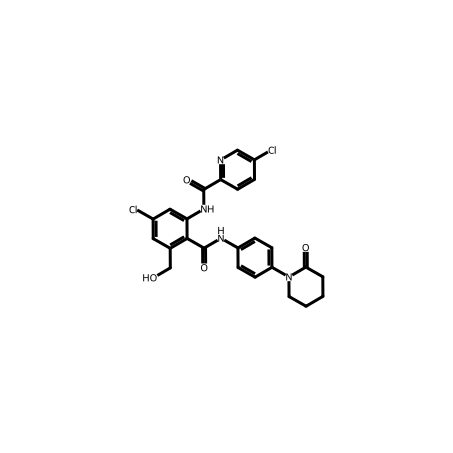 O=C(Nc1cc(Cl)cc(CO)c1C(=O)Nc1ccc(N2CCCCC2=O)cc1)c1ccc(Cl)cn1